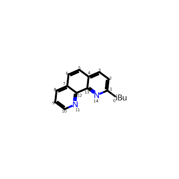 CCC(C)c1ccc2ccc3cccnc3c2n1